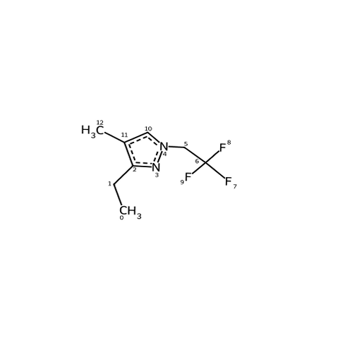 CCc1nn(CC(F)(F)F)cc1C